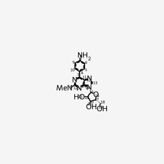 CNc1nc(-c2ccc(N)cc2)c2ncn([C@@H]3O[C@H](CO)[C@@H](O)[C@H]3O)c2n1